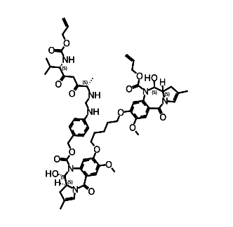 C=CCOC(=O)N[C@H](C(=O)CC(=O)[C@H](C)NCNc1ccc(COC(=O)N2c3cc(OCCCCCOc4cc5c(cc4OC)C(=O)N4C=C(C)C[C@H]4[C@H](O)N5C(=O)OCC=C)c(OC)cc3C(=O)N3C=C(C)C[C@H]3[C@@H]2O)cc1)C(C)C